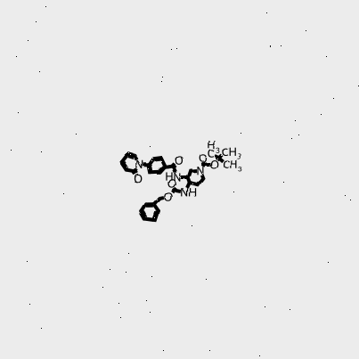 CC(C)(C)OC(=O)N1CCC(NC(=O)OCc2ccccc2)C(NC(=O)c2ccc(-n3ccccc3=O)cc2)C1